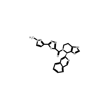 Cn1ccc(-c2nnc(C(=O)N3CCc4[nH]cnc4[C@H]3c3cc4ccccc4cn3)o2)n1